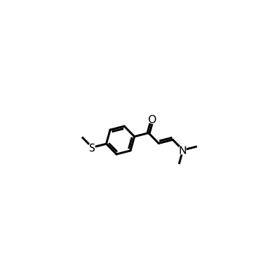 CSc1ccc(C(=O)/C=C/N(C)C)cc1